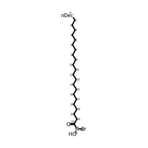 CCCCCCCCCCCCCCCCCCCCCCCCCCCCCCCC(=O)N(O)Br